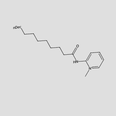 CCCCCCCCCCCCCCCCCC(=O)Nc1cccc[n+]1C